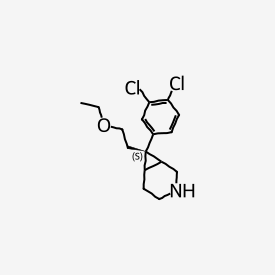 CCOCC[C@]1(c2ccc(Cl)c(Cl)c2)C2CCNCC21